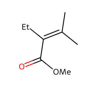 CCC(C(=O)OC)=C(C)C